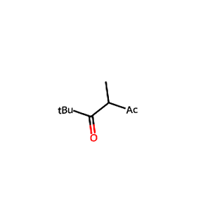 CC(=O)C(C)C(=O)C(C)(C)C